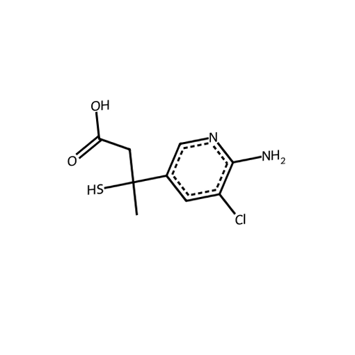 CC(S)(CC(=O)O)c1cnc(N)c(Cl)c1